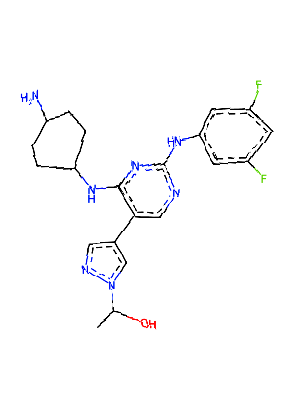 CC(O)n1cc(-c2cnc(Nc3cc(F)cc(F)c3)nc2NC2CCC(N)CC2)cn1